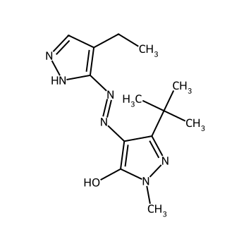 CCc1cn[nH]c1/N=N/c1c(C(C)(C)C)nn(C)c1O